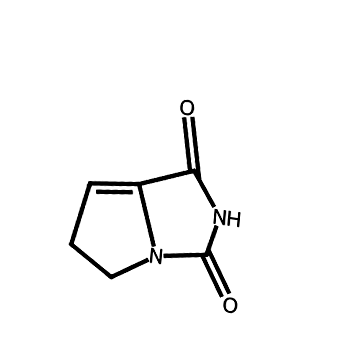 O=C1NC(=O)N2CCC=C12